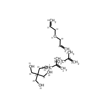 C=C(C)C(=O)O.C=C(C)C(=O)O.C=CCOCC=C.OCC(CO)(CO)CO